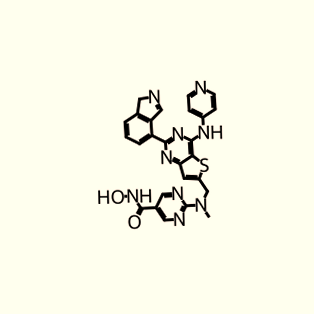 CN(Cc1cc2nc(-c3cccc4c3C=NC4)nc(Nc3ccncc3)c2s1)c1ncc(C(=O)NO)cn1